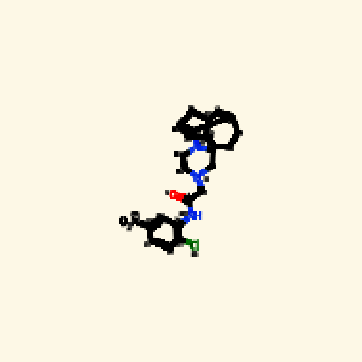 O=C(CN1CCN(C2C3CCCC4CC2CC4C3)CC1)Nc1cc([N+](=O)[O-])ccc1Cl